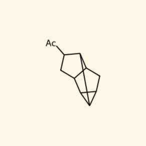 CC(=O)C1CC2C3CC4C2C4C13